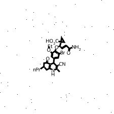 CCCC1CC(=O)C2=C(C1)NC(C)=C(C#N)C2c1cc(Br)c(OC(C=CC(N)=O)C2(C(=O)O)CC2)c(OCC)c1